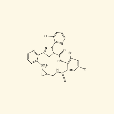 O=C(NCC1CC1)c1cc(Cl)cc(Br)c1NC(=O)C1CC(c2ncccc2S(=O)(=O)O)=NN1c1ncccc1Cl